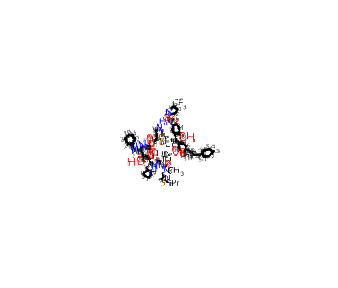 CC(C)c1nc(CN(C)C(=O)N[C@H](C(=O)N[C@@H](Cc2ccccc2)C[C@H](O)[C@H](Cc2ccccc2)NC(=O)OCc2cncs2)C(C)C)cs1.CCC[C@@]1(CCc2ccccc2)CC(O)=C([C@H](CC)c2cccc(NS(=O)(=O)c3ccc(C(F)(F)F)cn3)c2)C(=O)O1